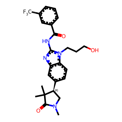 CN1C[C@H](c2ccc3c(c2)nc(NC(=O)c2cccc(C(F)(F)F)c2)n3CCCO)C(C)(C)C1=O